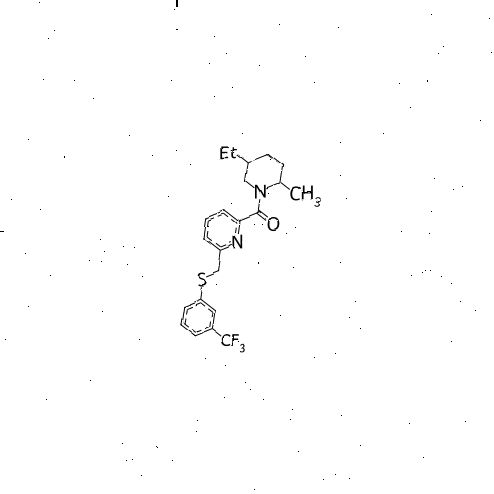 CCC1CCC(C)N(C(=O)c2cccc(CSc3cccc(C(F)(F)F)c3)n2)C1